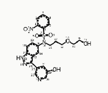 O=[N+]([O-])c1ccccc1S(=O)(=O)N(CCCOCCO)c1ccc2[nH]nc(-c3cncc(O)c3)c2c1